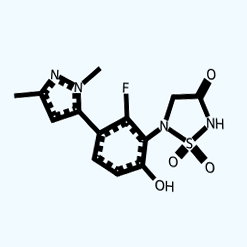 Cc1cc(-c2ccc(O)c(N3CC(=O)NS3(=O)=O)c2F)n(C)n1